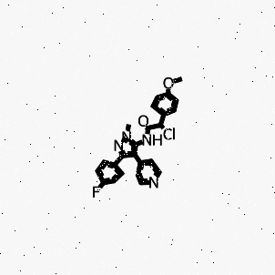 COc1ccc(C(Cl)C(=O)Nc2c(-c3ccncc3)c(-c3ccc(F)cc3)nn2C)cc1